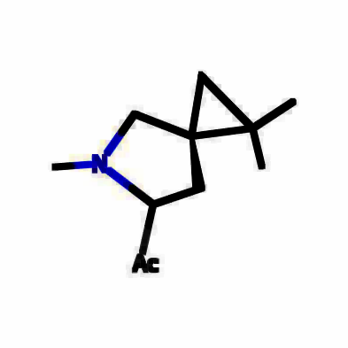 CC(=O)C1C[C@@]2(CN1C)CC2(C)C